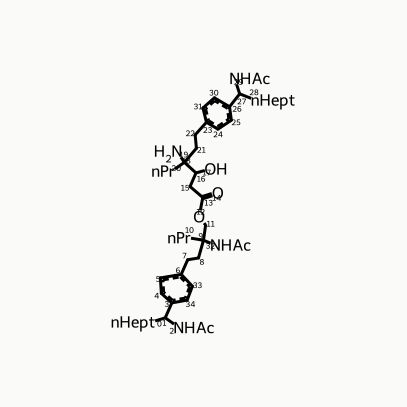 CCCCCCCC(NC(C)=O)c1ccc(CCC(CCC)(COC(=O)CC(O)C(N)(CCC)CCc2ccc(C(CCCCCCC)NC(C)=O)cc2)NC(C)=O)cc1